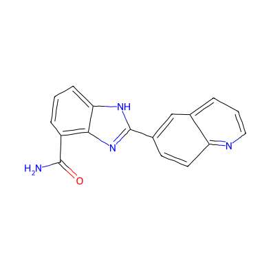 NC(=O)c1cccc2[nH]c(-c3ccc4ncccc4c3)nc12